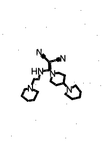 N#CC(C#N)=C(NCCN1CCCCC1)N1CCC(N2CCCCC2)CC1